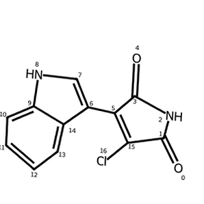 O=C1NC(=O)C(c2c[nH]c3ccccc23)=C1Cl